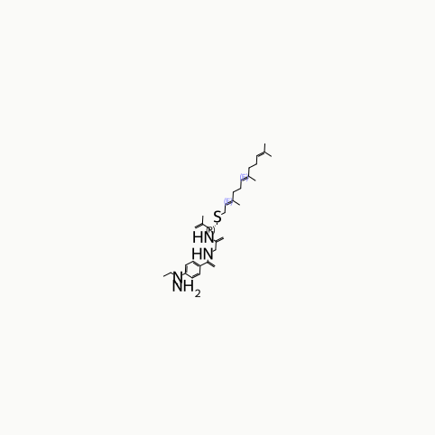 C=C(CNC(=C)c1ccc(N(N)CC)cc1)N[C@@H](CSC/C=C(\C)CC/C=C(\C)CCC=C(C)C)C(=C)C